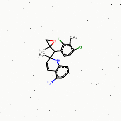 COc1c(Cl)ccc(C(C2(C)C=Cc3c(N)cccc3N2)C2(C(F)(F)F)CO2)c1F